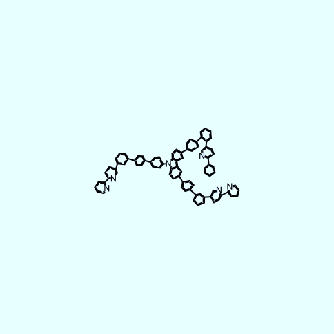 c1ccc(-c2ccc(-c3ccccc3-c3ccc(-c4ccc5c(c4)c4cc(-c6ccc(-c7cccc(-c8ccc(-c9ccccn9)nc8)c7)cc6)ccc4n5-c4ccc(-c5ccc(-c6cccc(-c7ccc(-c8ccccn8)nc7)c6)cc5)cc4)cc3)cn2)cc1